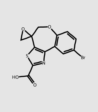 O=C(O)c1nc2c(s1)C1(COc3ccc(Br)cc3-2)CO1